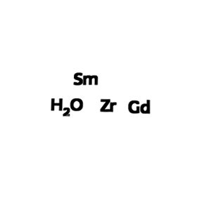 O.[Gd].[Sm].[Zr]